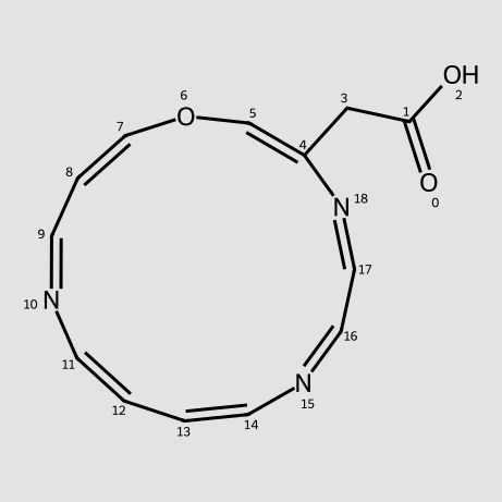 O=C(O)CC1=COC=CC=NC=CC=CN=CC=N1